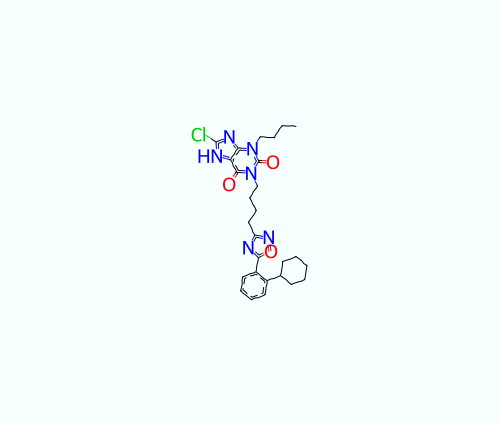 CCCCn1c(=O)n(CCCCc2noc(-c3ccccc3C3CCCCC3)n2)c(=O)c2[nH]c(Cl)nc21